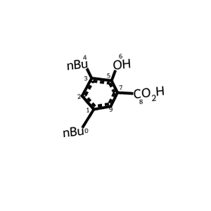 CCCCc1cc(CCCC)c(O)c(C(=O)O)c1